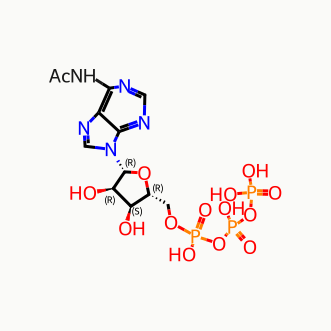 CC(=O)Nc1ncnc2c1ncn2[C@@H]1O[C@H](COP(=O)(O)OP(=O)(O)OP(=O)(O)O)[C@@H](O)[C@H]1O